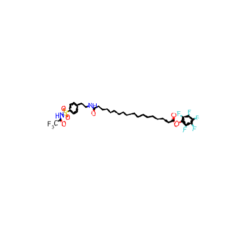 O=C(CCCCCCCCCCCCCCCCC(=O)Oc1c(F)c(F)c(F)c(F)c1F)NCCc1ccc(S(=O)(=O)NC(=O)C(F)(F)F)cc1